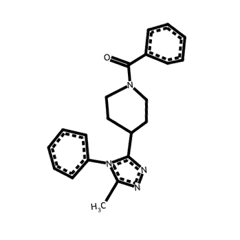 Cc1nnc(C2CCN(C(=O)c3ccccc3)CC2)n1-c1ccccc1